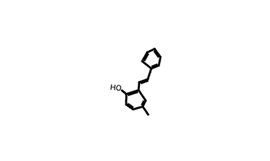 Cc1ccc(O)c(C=Cc2ccccc2)c1